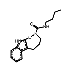 CCCCNC(=O)N1CCCc2c([nH]c3ccccc23)C1